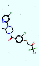 CCC(F)(F)C(=O)CSc1ccc(C(=O)N2CCN(c3cc(Cl)ccn3)C(C)C2)cc1Cl